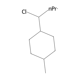 CC[CH]C(Cl)C1CCC(C)CC1